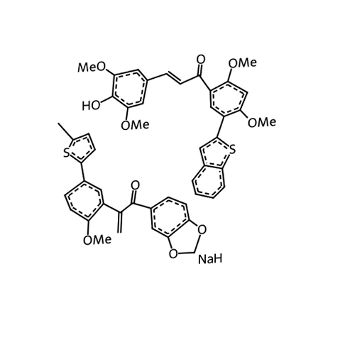 C=C(C(=O)c1ccc2c(c1)OCO2)c1cc(-c2ccc(C)s2)ccc1OC.COc1cc(OC)c(-c2cc3ccccc3s2)cc1C(=O)C=Cc1cc(OC)c(O)c(OC)c1.[NaH]